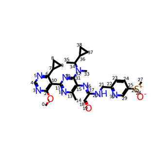 COc1ncnc(C2CC2)c1-c1nc(C)c(/N=C(\C=O)NCc2ccc([S+](C)[O-])cn2)c(N(C)C(C)C2CC2)n1